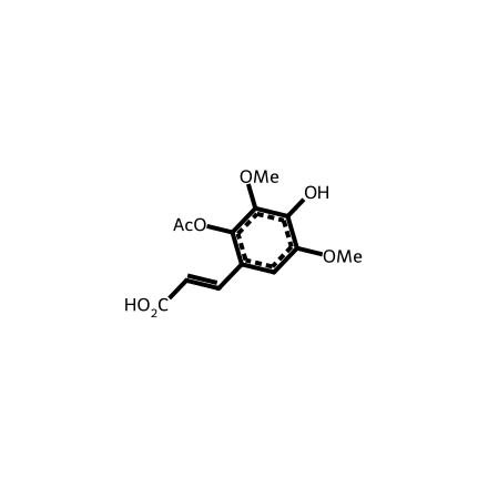 COc1cc(C=CC(=O)O)c(OC(C)=O)c(OC)c1O